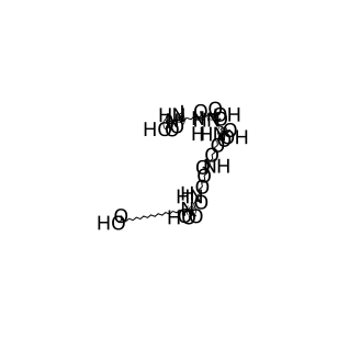 O=C(O)CCCCCCCCCCCCCCCCC(=O)N[C@@H](CCC(=O)NCCOCCOCC(=O)NCCOCCOCC(=O)N[C@@H](CCC(=O)N[C@@H](CCC(=O)NCCCC[C@H](NI)C(=O)N1CCC[C@H]1C(=O)O)C(=O)O)C(=O)O)C(=O)O